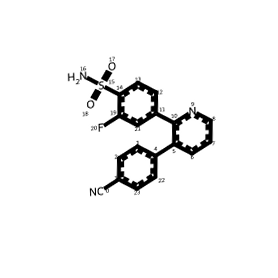 N#Cc1ccc(-c2cccnc2-c2ccc(S(N)(=O)=O)c(F)c2)cc1